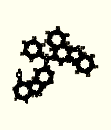 Clc1cccc2sc3ccc(N(c4ccccc4)c4cc5c6ccccc6sc5c5ccccc45)cc3c12